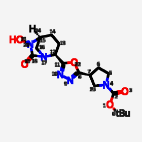 CC(C)(C)OC(=O)N1CC[C@H](c2nnc([C@@H]3CC[C@H]4CN3C(=O)N4O)o2)C1